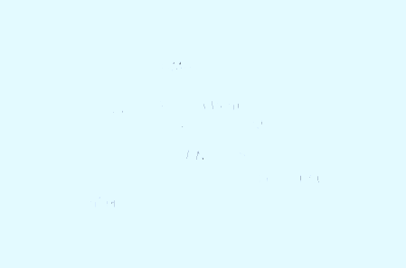 CCCCC/C=C\CC(CCCCC)(NC(=O)OC(C)(C)C)C(=O)OC